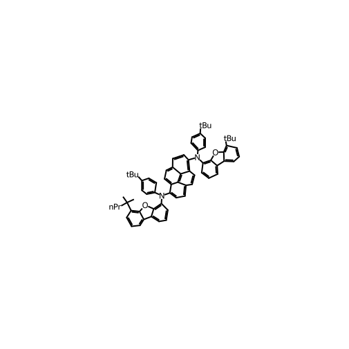 CCCC(C)(C)c1cccc2c1oc1c(N(c3ccc(C(C)(C)C)cc3)c3ccc4ccc5c(N(c6ccc(C(C)(C)C)cc6)c6cccc7c6oc6c(C(C)(C)C)cccc67)ccc6ccc3c4c65)cccc12